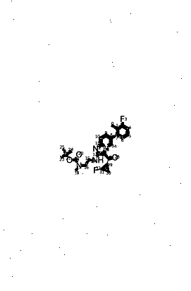 Cc1c(F)cccc1-c1ccc2nc(NCCN(C)C(=O)OC(C)(C)C)c(C(=O)[C@@H]3C[C@@H]3F)n2c1